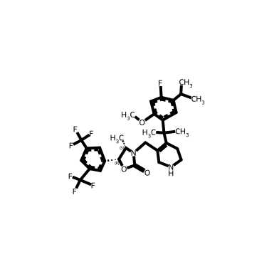 COc1cc(F)c(C(C)C)cc1C(C)(C)C1=C(CN2C(=O)O[C@H](c3cc(C(F)(F)F)cc(C(F)(F)F)c3)[C@@H]2C)CNCC1